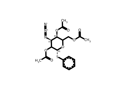 CC(=O)OCC1O[C@H](Sc2ccccc2)C(OC(C)=O)[C@@H](N=[N+]=[N-])[C@H]1OC(C)=O